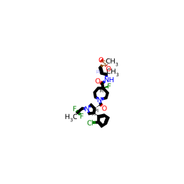 C[C@H](/C=C\S(C)(=O)=O)NC(=O)[C@@]1(F)CCCN(C(=O)[C@H]2CN(CC(C)(F)F)C[C@H]2c2ccccc2Cl)CC1